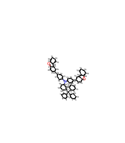 c1ccc(C2(c3ccccc3)c3ccccc3-c3c(N(c4ccc(-c5ccc6oc7ccccc7c6c5)cc4)c4ccc(-c5ccc6oc7ccccc7c6c5)cc4)cccc32)cc1